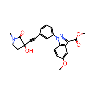 COC(=O)c1nn(-c2cccc(C#C[C@]3(O)CCN(C)C3=O)c2)c2ccc(OC)cc12